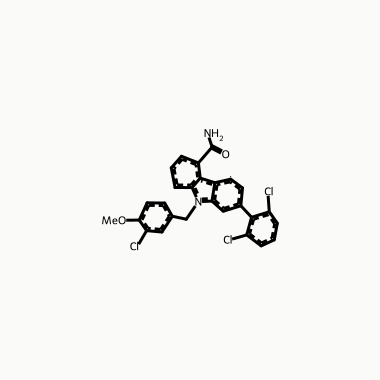 COc1ccc(Cn2c3cc(-c4c(Cl)cccc4Cl)c[c]c3c3c(C(N)=O)cccc32)cc1Cl